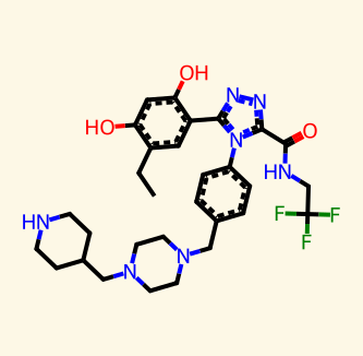 CCc1cc(-c2nnc(C(=O)NCC(F)(F)F)n2-c2ccc(CN3CCN(CC4CCNCC4)CC3)cc2)c(O)cc1O